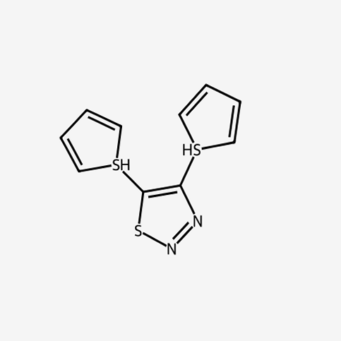 C1=C[SH](c2nnsc2[SH]2C=CC=C2)C=C1